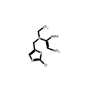 CNC(=C[N+](=O)[O-])N(Cc1cnc(Cl)s1)CC(F)(F)F